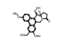 CCCCOc1ccc2c3c(c4cc(OC)c(CO)cc4c2c1)CN1C(=O)CC[C@H]1C3=NO